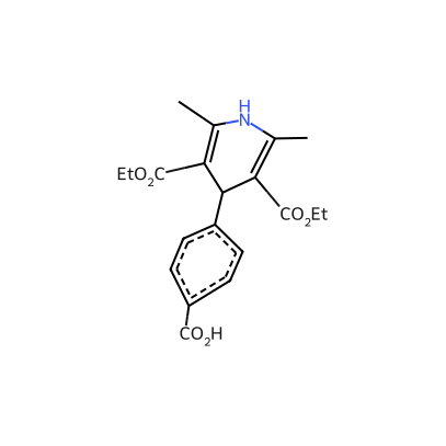 CCOC(=O)C1=C(C)NC(C)=C(C(=O)OCC)C1c1ccc(C(=O)O)cc1